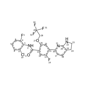 O=C(Nc1c(F)cccc1Cl)c1cc(F)c(-c2ccc3c(n2)NCC3)cc1OCC(F)(F)F